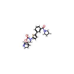 O=C(c1cccc(-c2ccc(N3C[C@@]4(CN5CCC4CC5)OC3=O)s2)c1)N1CCCC1